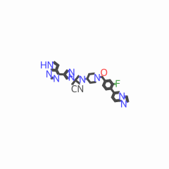 N#CCC1(n2cc(-c3ncnc4[nH]ccc34)cn2)CN(C2CCN(C(=O)c3ccc(-c4ccc5nccn5c4)c(F)c3)CC2)C1